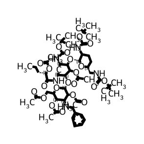 CCC[C@H](OC(C)=O)C(=O)N[C@@H]1C[C@@H](NC(=O)OC(C)(C)C)C(O[C@H]2O[C@H](CNC(=O)OC(C)(C)C)CCC2NC(=O)OC(C)(C)C)C(OC(C)=O)[C@H]1O[C@H]1OC(COC(C)=O)[C@@H](OC(C)=O)[C@H](NCc2ccccc2)C1OC(C)=O